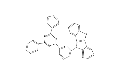 c1ccc(-c2nc(-c3ccccc3)nc(-c3cccc(-n4c5ccccc5c5sc6ccccc6c54)c3)n2)cc1